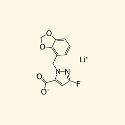 O=C([O-])c1cc(F)nn1Cc1cccc2c1OCO2.[Li+]